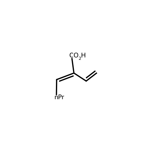 C=CC(=CCCC)C(=O)O